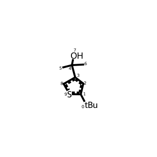 CC(C)(C)c1cc(C(C)(C)O)cs1